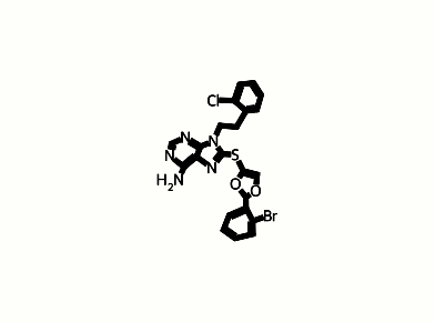 Nc1ncnc2c1nc(SC1=COC(c3ccccc3Br)O1)n2CCc1ccccc1Cl